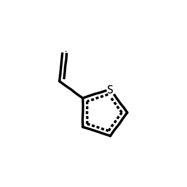 [C]=Cc1cccs1